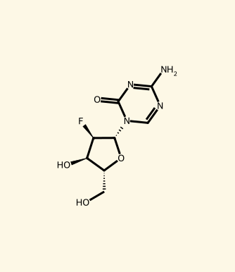 Nc1ncn([C@@H]2O[C@H](CO)[C@@H](O)[C@H]2F)c(=O)n1